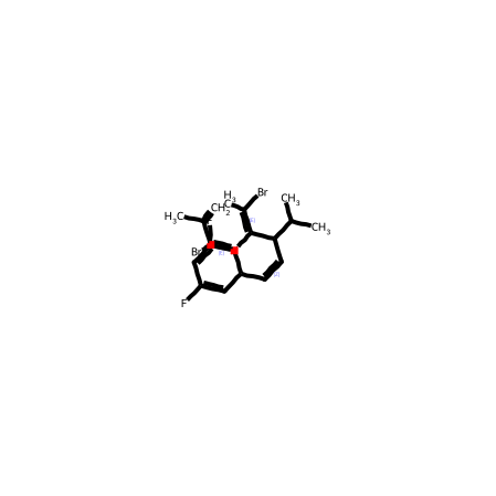 C=C(C)/C(Br)=N\C(=C(/C)Br)C(/C=C\C1C=C(F)C=C(F)C1)C(C)C